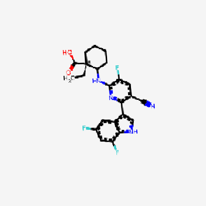 CC[C@@]1(C(=O)O)CCCCC1Nc1nc(-c2c[nH]c3c(F)cc(F)cc23)c(C#N)cc1F